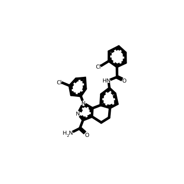 NC(=O)c1nn(-c2cccc(Cl)c2)c2c1CCc1ccc(NC(=O)c3ccccc3Cl)cc1-2